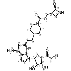 CCNC(=O)[C@H]1O[C@@H](n2cnc3c(N)nc(CCC4CCN(C(=O)OCC5CNC5=O)CC4)nc32)C(O)C1O